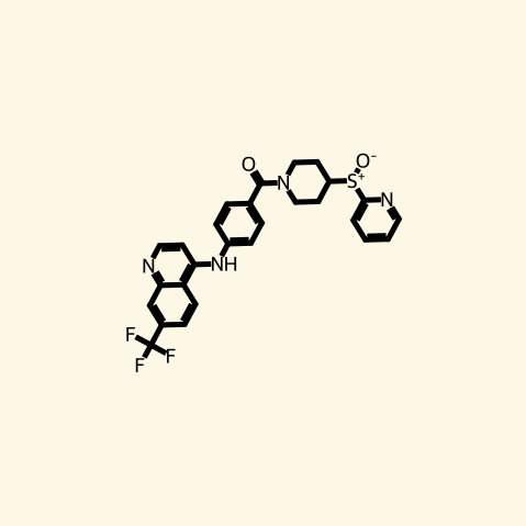 O=C(c1ccc(Nc2ccnc3cc(C(F)(F)F)ccc23)cc1)N1CCC([S+]([O-])c2ccccn2)CC1